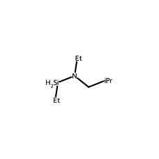 CC[SiH2]N(CC)CC(C)C